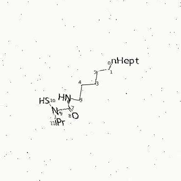 CCCCCCCCCCCCNC(=O)N(S)C(C)C